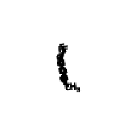 CCCC12CCC(c3ccc(-c4ccc(OCCCC(F)(F)F)cc4)cc3)(CC1)CC2